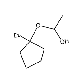 CCC1(OC(C)O)CCCC1